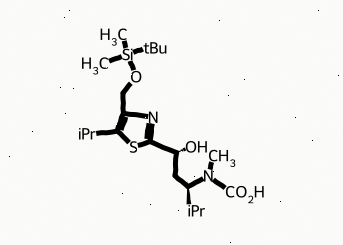 CC(C)c1sc([C@H](O)C[C@H](C(C)C)N(C)C(=O)O)nc1CO[Si](C)(C)C(C)(C)C